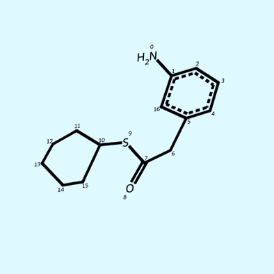 Nc1cccc(CC(=O)SC2CCCCC2)c1